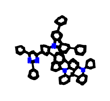 c1ccc(-c2ccc3c(c2)c2cc(-c4ccccc4)ccc2n3-c2ccc(-c3cc(-c4ccccc4)nc(-c4ccccc4)n3)cc2-c2ccc(-c3ccc4c5c3N(c3ccccc3)c3ccccc3B5c3ccccc3N4c3ccccc3)cc2)cc1